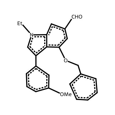 CCn1cc(-c2cccc(OC)c2)c2c(OCc3ccccc3)cc(C=O)cc21